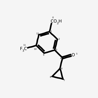 O=C(O)c1cc(C(=O)C2CC2)cc(C(F)(F)F)c1